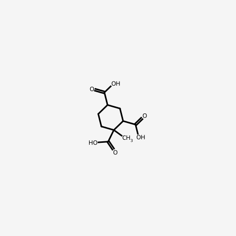 CC1(C(=O)O)CCC(C(=O)O)CC1C(=O)O